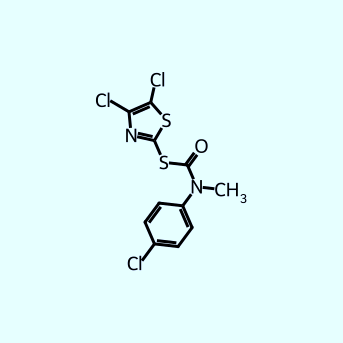 CN(C(=O)Sc1nc(Cl)c(Cl)s1)c1ccc(Cl)cc1